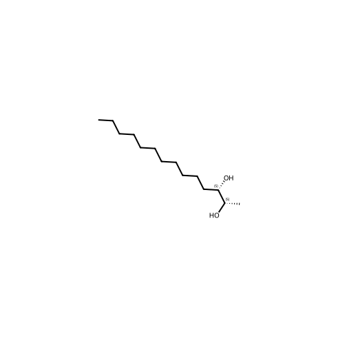 CCCCCCCCCCC[C@H](O)[C@H](C)O